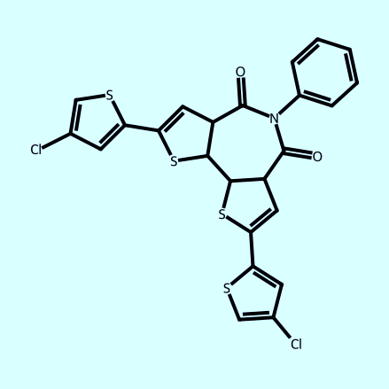 O=C1C2C=C(c3cc(Cl)cs3)SC2C2SC(c3cc(Cl)cs3)=CC2C(=O)N1c1ccccc1